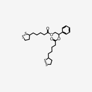 O=C(CCCCC1CCSS1)OCC(OC(=O)CCCCC1CCSS1)c1ccccc1